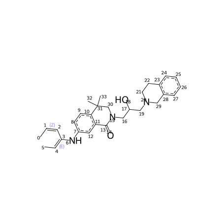 C/C=C\C(=C/C)Nc1ccc2c(c1)C(=O)N(CC(O)CN1CCc3ccccc3C1)CC2(C)C